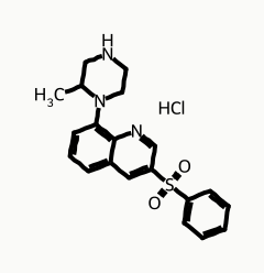 CC1CNCCN1c1cccc2cc(S(=O)(=O)c3ccccc3)cnc12.Cl